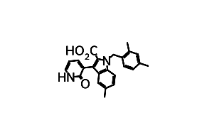 Cc1ccc(Cn2c(C(=O)O)c(-c3ccc[nH]c3=O)c3cc(C)ccc32)c(C)c1